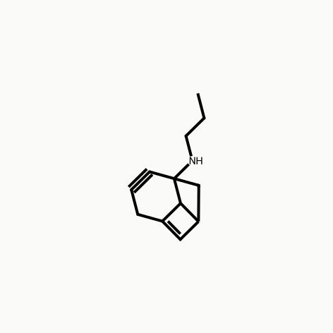 CCCNC12C#CCC3=CC(C1)C32